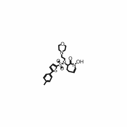 Cc1ccc(-c2ccc(S(=O)(=O)N(CCN3CCOCC3)C3CCC=CN(O)C3=O)s2)cc1